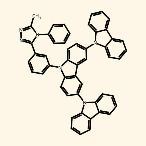 Cc1nnc(-c2cccc(-n3c4ccc(-n5c6ccccc6c6ccccc65)cc4c4cc(-n5c6ccccc6c6ccccc65)ccc43)c2)n1-c1ccccc1